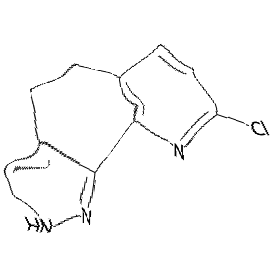 Clc1ccc2c(n1)-c1n[nH]cc1CC2